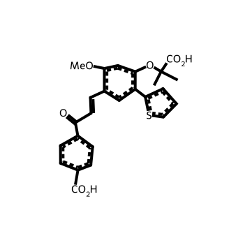 COc1cc(OC(C)(C)C(=O)O)c(-c2cccs2)cc1C=CC(=O)c1ccc(C(=O)O)cc1